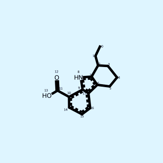 CCC1CCCc2c1[nH]c1c(C(=O)O)cccc21